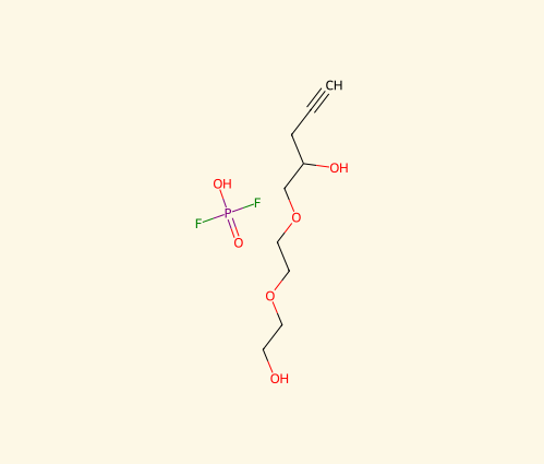 C#CCC(O)COCCOCCO.O=P(O)(F)F